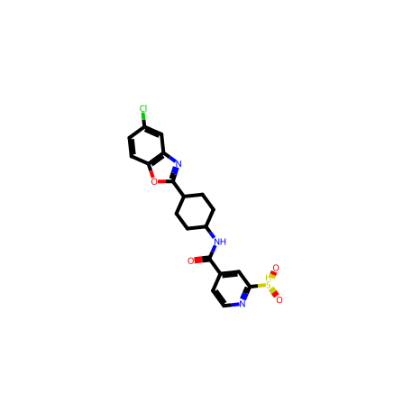 O=C(NC1CCC(c2nc3cc(Cl)ccc3o2)CC1)c1ccnc([SH](=O)=O)c1